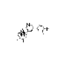 Cc1cc(-c2cnc3cnn(CC(C)C(C)O)c3c2)ccc1F